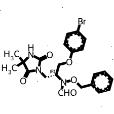 CC1(C)NC(=O)N(C[C@H](COc2ccc(Br)cc2)N(C=O)OCc2ccccc2)C1=O